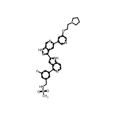 CS(=O)(=O)NCc1cc(F)cc(-c2nccc3[nH]c(-c4n[nH]c5cnc(-c6cncc(OCCN7CCCC7)c6)cc45)cc23)c1